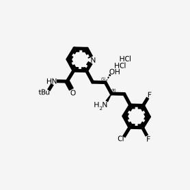 CC(C)(C)NC(=O)c1cccnc1C[C@H](O)[C@H](N)Cc1cc(Cl)c(F)cc1F.Cl.Cl